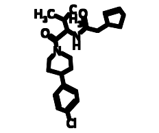 CC(C)C(NC(=O)CC1C=CCC1)C(=O)N1CCC(c2ccc(Cl)cc2)CC1